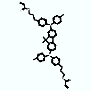 C=CC(=O)OCCCc1ccc(N(c2ccc(C)cc2)c2ccc3c(c2)C(C)(C)c2cc(N(c4ccc(C)cc4)c4ccc(CCCOC(=O)C=C)cc4)ccc2-3)cc1